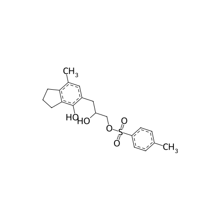 Cc1ccc(S(=O)(=O)OCC(O)Cc2cc(C)c3c(c2O)CCC3)cc1